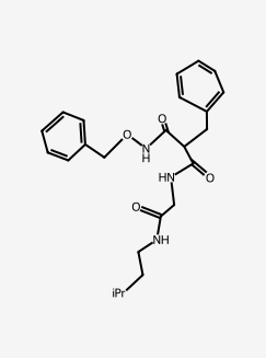 CC(C)CCNC(=O)CNC(=O)C(Cc1ccccc1)C(=O)NOCc1ccccc1